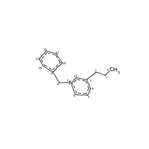 CCCc1ccc[n+](Cc2ccccc2)c1